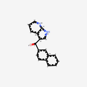 O=C(c1ccc2ccccc2c1)c1c[nH]c2ncccc12